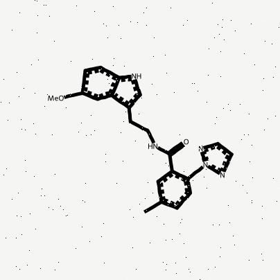 COc1ccc2[nH]cc(CCNC(=O)c3cc(C)ccc3-n3nccn3)c2c1